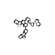 c1cc(-c2ccc3sc4ccccc4c3c2)cc(N(c2cccc(-c3cccc4ccccc34)c2)c2ccccc2-c2ccc3oc4ccccc4c3c2)c1